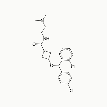 CN(C)CCNC(=O)N1CC(OC(c2ccc(Cl)cc2)c2ccccc2Cl)C1